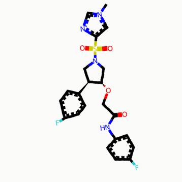 Cn1cnc(S(=O)(=O)N2C[C@H](OCC(=O)Nc3ccc(F)cc3)[C@@H](c3ccc(F)cc3)C2)c1